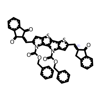 O=C1/C(=C/c2cc3c(s2)c2sc4cc(C=C5C(=O)c6ccccc6C5=O)n(C(=O)OCc5ccccc5)c4c2n3C(=O)OCc2ccccc2)Cc2ccccc21